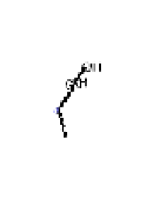 CCCCCCCC/C=C\CCCCCCCC(=O)NCCCCCO